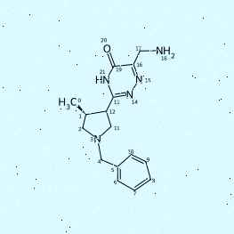 C[C@@H]1CN(Cc2ccccc2)CC1c1nnc(CN)c(=O)[nH]1